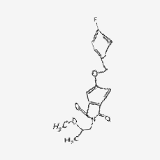 COC(C)CN1C(=O)c2ccc(OCc3ccc(F)cc3)cc2C1=O